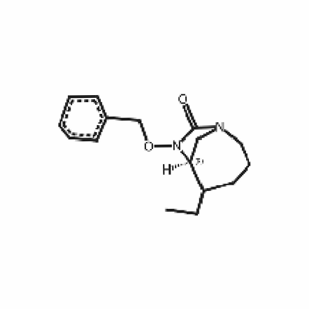 CCC1CCCN2C[C@@H]1N(OCc1ccccc1)C2=O